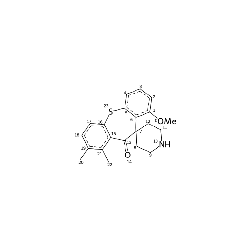 COc1cccc2c1C1(CCNCC1)C(=O)c1c(ccc(C)c1C)S2